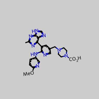 COc1ccc(Nc2ncc(CN3CCN(C(=O)O)CC3)cc2-c2nc(C)nc3[nH]cnc23)cn1